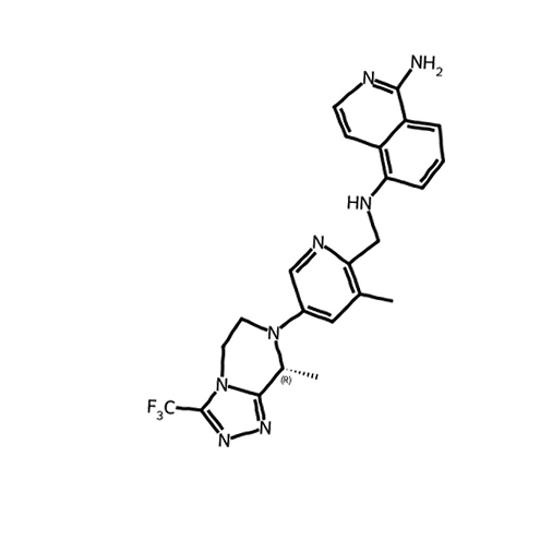 Cc1cc(N2CCn3c(nnc3C(F)(F)F)[C@H]2C)cnc1CNc1cccc2c(N)nccc12